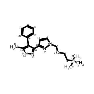 C[Si](C)(C)CCOCn1ccc(-c2n[nH]c(N)c2-c2ccccc2)n1